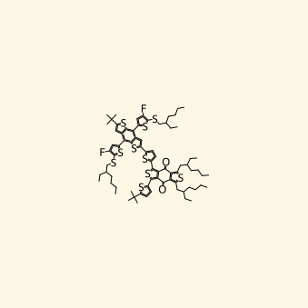 CCCCC(CC)CSc1sc(-c2c3cc(C(C)(C)C)sc3c(-c3cc(F)c(SCC(CC)CCCC)s3)c3cc(-c4ccc(-c5sc(-c6ccc(C(C)(C)C)s6)c6c5C(=O)c5c(CC(CC)CCCC)sc(CC(CC)CCCC)c5C6=O)s4)sc23)cc1F